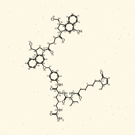 CC(C)[C@H](NC(=O)CCCCCN1C(=O)C=CC1C)C(=O)N[C@@H](CCCNC(N)=O)C(=O)Nc1ccc(COc2cc3c(c4ccccc24)C(CCl)CN3C(=O)CCCC(=O)N2C[C@@H](CCl)c3c2cc(O)c2ccccc32)cc1